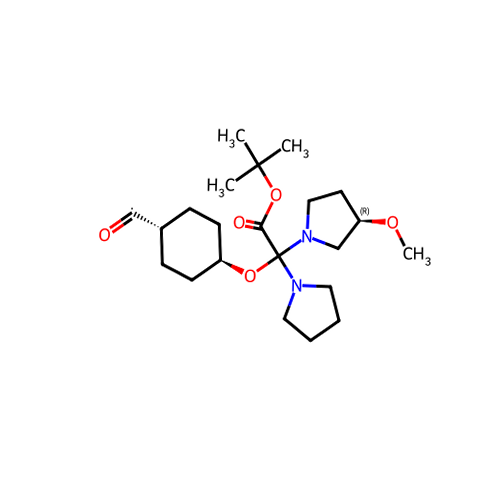 CO[C@@H]1CCN(C(O[C@H]2CC[C@H]([C]=O)CC2)(C(=O)OC(C)(C)C)N2CCCC2)C1